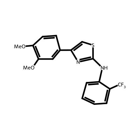 COc1ccc(-c2csc(Nc3ccccc3C(F)(F)F)n2)cc1OC